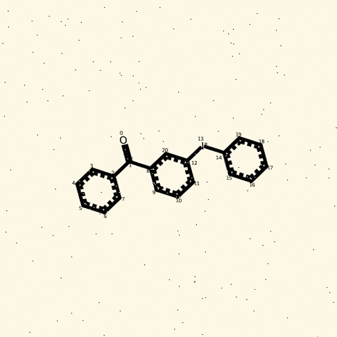 O=C(c1ccccc1)c1cccc([I+]c2ccccc2)c1